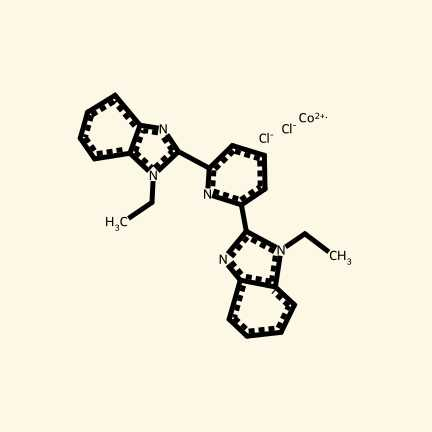 CCn1c(-c2cccc(-c3nc4ccccc4n3CC)n2)nc2ccccc21.[Cl-].[Cl-].[Co+2]